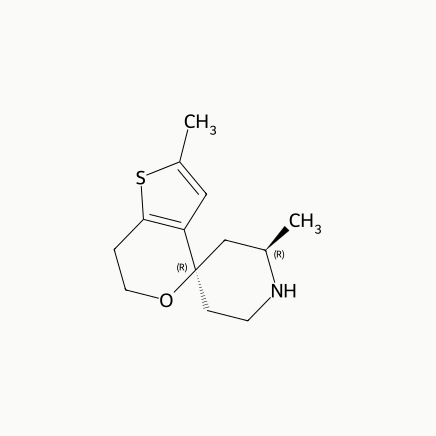 Cc1cc2c(s1)CCO[C@@]21CCN[C@H](C)C1